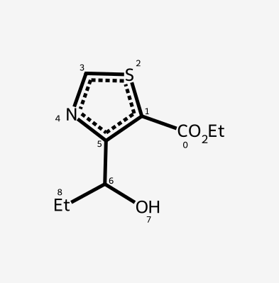 CCOC(=O)c1scnc1C(O)CC